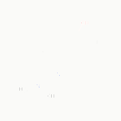 CCc1cc(N=CN(C)C)c(CC)cc1O